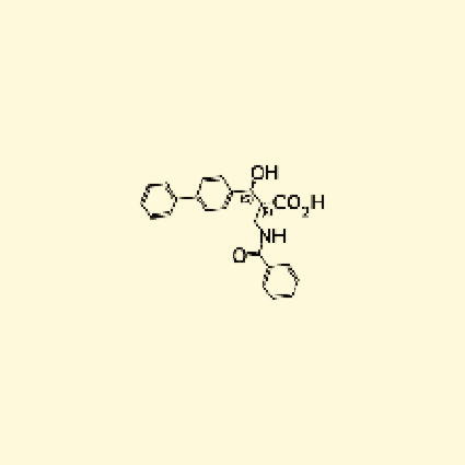 O=C(NC[C@@H](C(=O)O)[C@H](O)c1ccc(-c2ccccc2)cc1)c1ccccc1